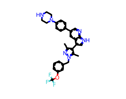 Cc1nn(Cc2cccc(OC(F)(F)F)c2)c(C)c1-c1c[nH]c2ncc(-c3ccc(N4CCNCC4)cc3)cc12